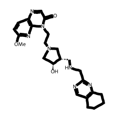 COc1ccc2ncc(=O)n(CCN3C[C@H](CNCc4ncc5c(n4)CCCC5)[C@H](O)C3)c2n1